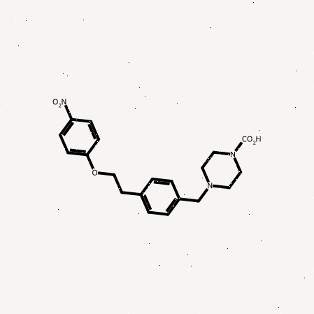 O=C(O)N1CCN(Cc2ccc(CCOc3ccc([N+](=O)[O-])cc3)cc2)CC1